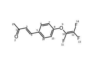 CC(=O)/C=C/c1ccc(OC(F)=C(F)F)cc1